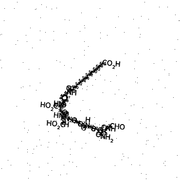 CC(C(=O)NCC=O)C(OCCOCCNC(=O)COCCOCCNC(=O)[C@H](CCC(=O)O)NC(=O)CC[C@H](NC(=O)C1CCC(CNC(=O)CCCCCCCCCCCCCCCCCCC(=O)O)CC1)C(=O)O)C(N)=O